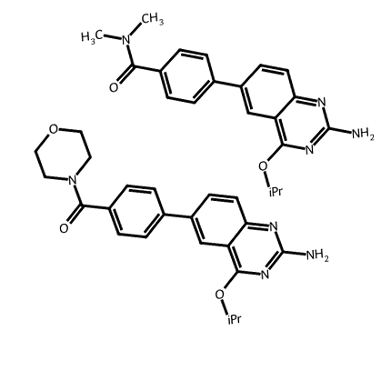 CC(C)Oc1nc(N)nc2ccc(-c3ccc(C(=O)N(C)C)cc3)cc12.CC(C)Oc1nc(N)nc2ccc(-c3ccc(C(=O)N4CCOCC4)cc3)cc12